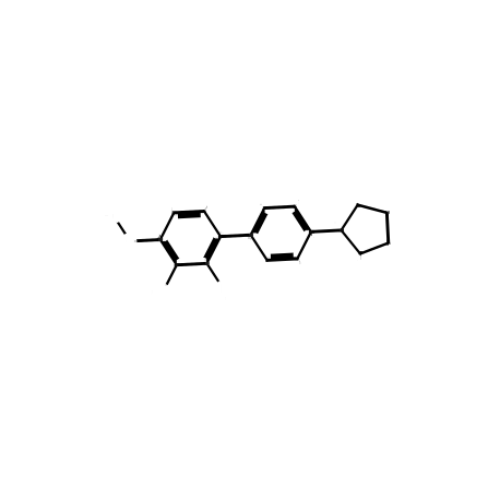 CCOc1ccc(-c2ccc(C3CCCC3)cc2)c(F)c1F